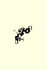 Cn1c(Cc2ccc(=O)[nH]n2)ccc1C(=O)c1cccc(Cl)c1